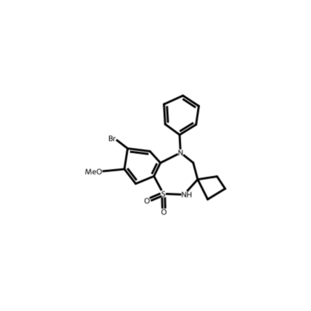 COc1cc2c(cc1Br)N(c1ccccc1)CC1(CCC1)NS2(=O)=O